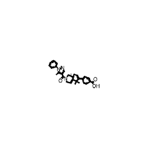 Cc1c(C(=O)N2CC=C3C(C)(C)C(c4ccc(C(=O)O)cc4)=CC[C@]3(C)C2)cnn1-c1ccccc1